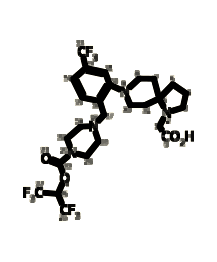 O=C(O)CN1CCCC12CCN(c1cc(C(F)(F)F)ccc1CN1CCN(C(=O)OC(C(F)(F)F)C(F)(F)F)CC1)CC2